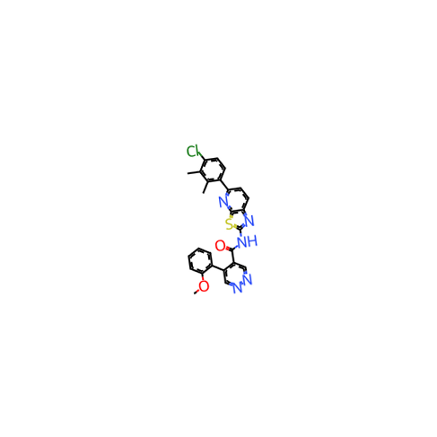 COc1ccccc1-c1cnncc1C(=O)Nc1nc2ccc(-c3ccc(Cl)c(C)c3C)nc2s1